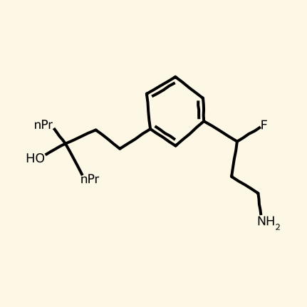 CCCC(O)(CCC)CCc1cccc(C(F)CCN)c1